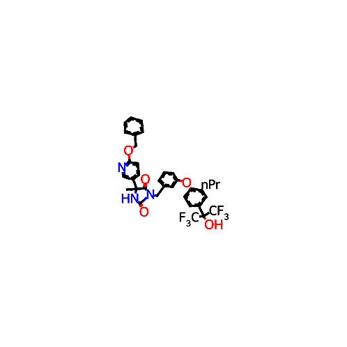 CCCc1cc(C(O)(C(F)(F)F)C(F)(F)F)ccc1Oc1cccc(CN2C(=O)NC(C)(c3ccc(OCc4ccccc4)nc3)C2=O)c1